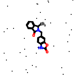 CC1c2ccccc2C(=O)N1Cc1ccc2[nH]c(=O)oc2c1